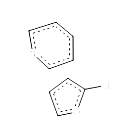 Clc1ccco1.c1ccncc1